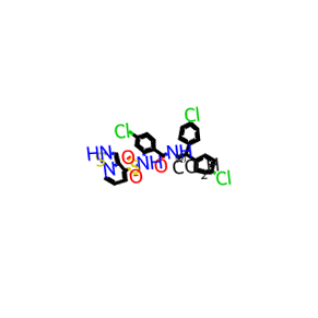 O=C(N[C@H](C(=O)O)C(c1ccc(Cl)cc1)c1ccc(Cl)cc1)c1ccc(Cl)cc1NS(=O)(=O)C1=CC=CN2SNC=C12